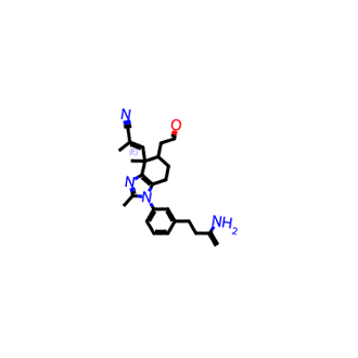 C=C(N)CCc1cccc(-n2c(C)nc3c2CCC(CC=O)C3(C)/C=C(\C)C#N)c1